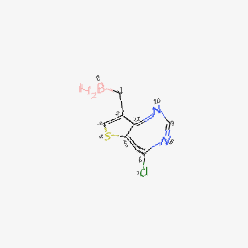 BCc1csc2c(Cl)ncnc12